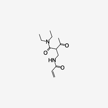 C=CC(=O)NCC(C(C)=O)C(=O)N(CC)CC